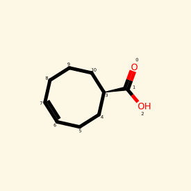 O=C(O)[C@H]1CC/C=C\CCC1